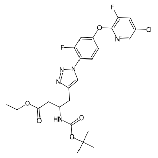 CCOC(=O)CC(Cc1cn(-c2ccc(Oc3ncc(Cl)cc3F)cc2F)nn1)NC(=O)OC(C)(C)C